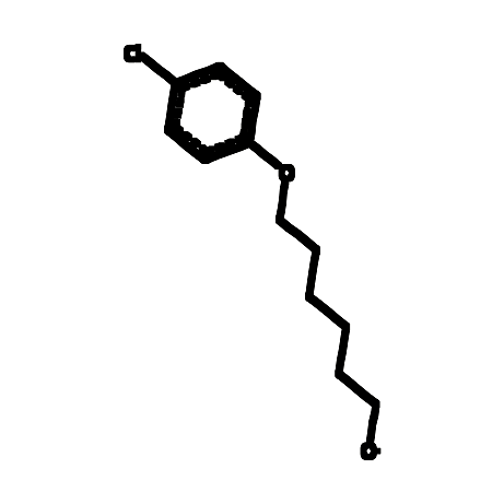 [O]CCCCCCOc1ccc(Cl)cc1